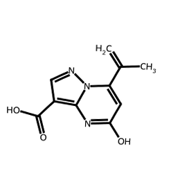 C=C(C)c1cc(O)nc2c(C(=O)O)cnn12